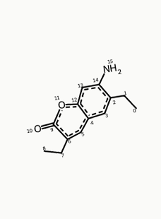 CCc1cc2cc(CC)c(=O)oc2cc1N